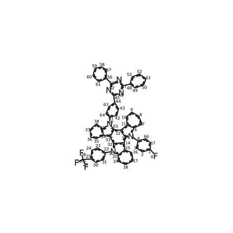 Fc1ccc(-n2c3ccccc3c3c2c2c4ccccc4n(-c4ccc(C(F)(F)F)cc4)c2c2c4ccccc4n(-c4ccc(-c5nc(-c6ccccc6)nc(-c6ccccc6)n5)cc4)c32)cc1